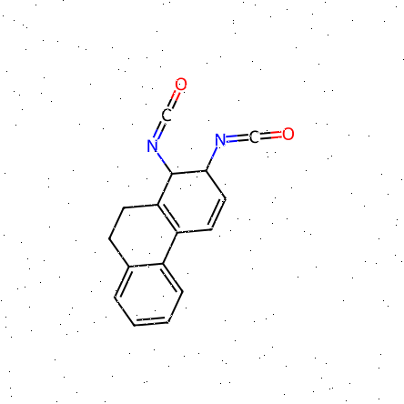 O=C=NC1C=CC2=C(CCc3ccccc32)C1N=C=O